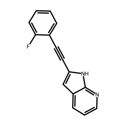 Fc1ccccc1C#Cc1cc2cccnc2[nH]1